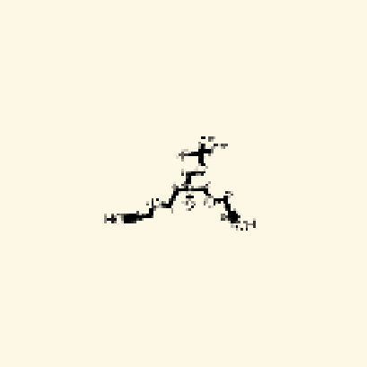 C#CCOCCP(=O)(COCC#C)COC(F)(F)F